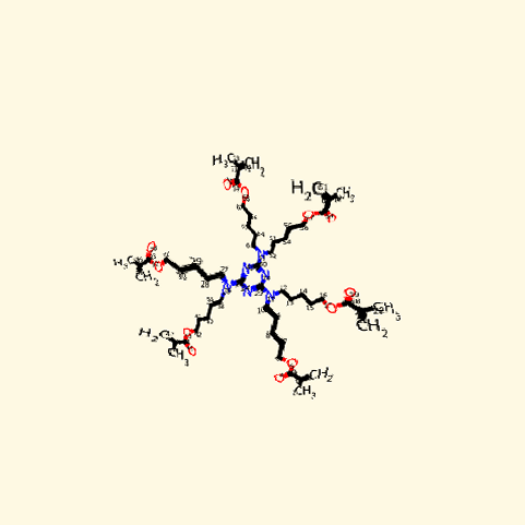 C=C(C)C(=O)OCCCCCN(CCCCCOC(=O)C(=C)C)c1nc(N(CCCCCOC(=O)C(=C)C)CCCCCOC(=O)C(=C)C)nc(N(CCCCCOC(=O)C(=C)C)CCCCCOC(=O)C(=C)C)n1